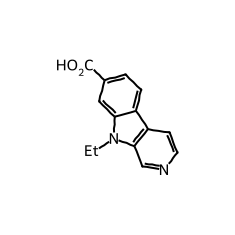 CCn1c2cnccc2c2ccc(C(=O)O)cc21